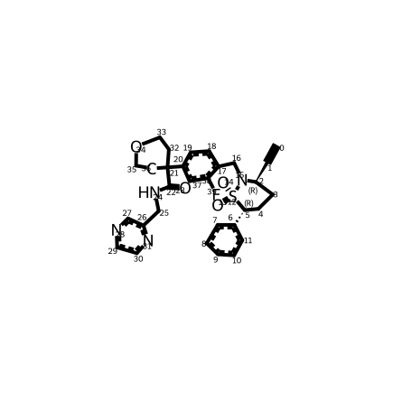 C#C[C@H]1CC[C@H](c2ccccc2)S(=O)(=O)N1Cc1ccc(C2(C(=O)NCc3cnccn3)CCOCC2)cc1F